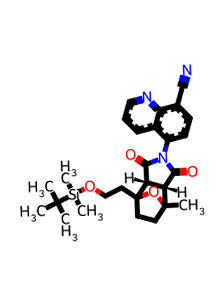 CC12CCC(CCO[Si](C)(C)C(C)(C)C)(O1)[C@@H]1C(=O)N(c3ccc(C#N)c4ncccc34)C(=O)[C@@H]12